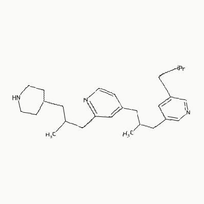 CC(C)Cc1cncc(CC(C)Cc2ccnc(CC(C)CC3CCNCC3)c2)c1